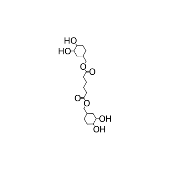 O=C(CCCCC(=O)OCC1CCC(O)C(O)C1)OCC1CCC(O)C(O)C1